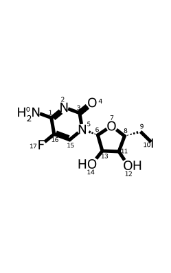 Nc1nc(=O)n([C@@H]2O[C@H](CI)C(O)C2O)cc1F